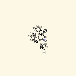 C/C(=C\c1c[nH]nn1)CN1C(=O)c2ccccc2C1Cc1ncccc1Br